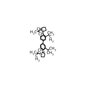 CC(C)c1cc(-c2ccc([C@@H]3CCCN3C(C)(C)C)c(C(C)C)c2)ccc1C1CCCN1C(C)(C)C